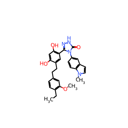 CCc1ccc(CCc2cc(-c3n[nH]c(=O)n3-c3ccc4c(ccn4C)c3)c(O)cc2O)cc1OC